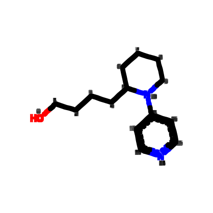 OCCCCC1CCCCN1c1ccncc1